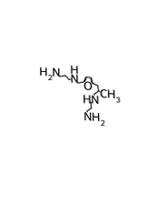 CC(CNCCCN)Cc1ccc(CNCCCN)o1